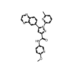 COc1ccc(NC(=O)c2cc(-c3ccc4nccnc4c3)n(-c3cccc(C)n3)n2)cn1